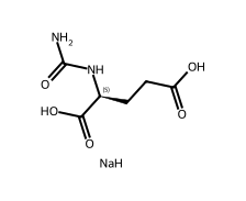 NC(=O)N[C@@H](CCC(=O)O)C(=O)O.[NaH]